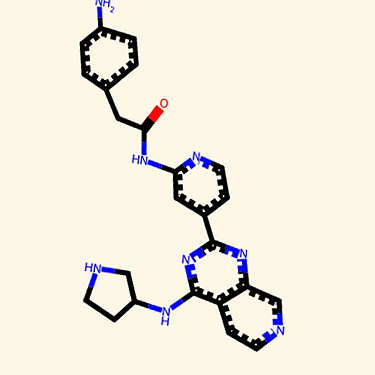 Nc1ccc(CC(=O)Nc2cc(-c3nc(NC4CCNC4)c4ccncc4n3)ccn2)cc1